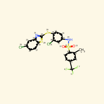 Cc1cc(C(F)(F)F)ccc1S(=O)(=O)Nc1ccc(Sc2nc3cc(Cl)ccc3s2)c(Cl)c1